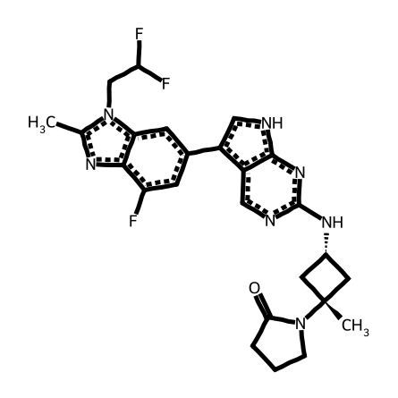 Cc1nc2c(F)cc(-c3c[nH]c4nc(N[C@H]5C[C@@](C)(N6CCCC6=O)C5)ncc34)cc2n1CC(F)F